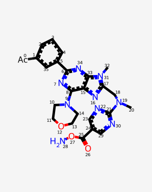 CC(=O)c1cccc(-c2nc(N3CCOCC3)c3nc(CN(C)c4ncc(C(=O)ON)cn4)n(C)c3n2)c1